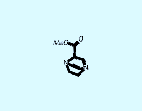 COC(=O)C1CN2C=CN1CC2